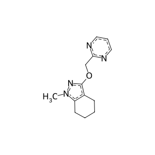 Cn1nc(OCc2ncccn2)c2c1CCCC2